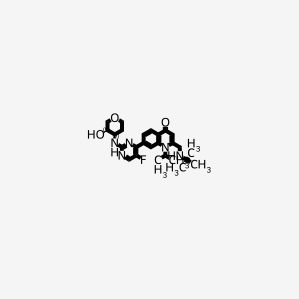 CC(C)n1c(CNC(C)(C)C)cc(=O)c2ccc(-c3nc(N[C@@H]4CCOC[C@H]4O)ncc3F)cc21